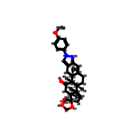 CCCCOc1ccc(-n2cc3c(n2)C=C2CC[C@@H]4[C@H](C(=O)C[C@@]5(C)[C@H]4CC[C@@]54OCOC45COCO5)[C@@]2(C)C3)cc1